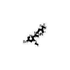 CCSc1cc(Br)cnc1-c1cn2ncc(C(F)(F)F)cc2n1